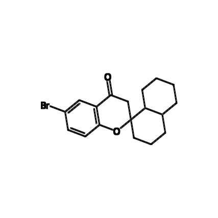 O=C1CC2(CCCC3CCCCC32)Oc2ccc(Br)cc21